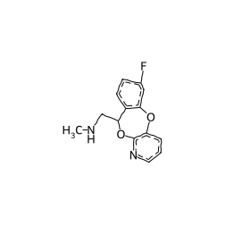 CNCC1Oc2ncccc2Oc2cc(F)ccc21